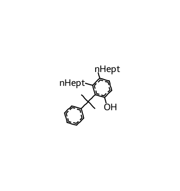 CCCCCCCc1ccc(O)c(C(C)(C)c2ccccc2)c1CCCCCCC